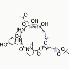 CC(=O)CC[C@H]1C(=O)N[C@@H](C(C)C)C(=O)N[C@@H](Cc2cccc(O)c2)C(=O)N2CCCC(N2)C(=O)O[C@H](/C(C)=C/C=C/C(=O)OC(C)(C)C)C/C=C/C=C/[C@H](O)[C@H](C)[C@H]1O